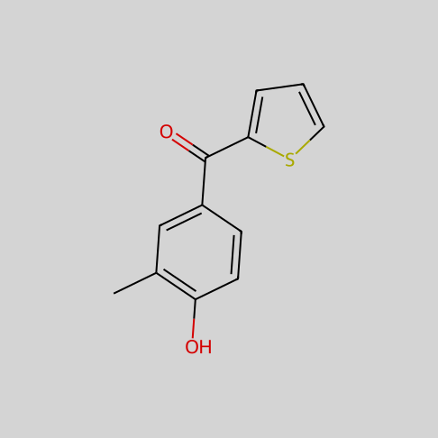 Cc1cc(C(=O)c2cccs2)ccc1O